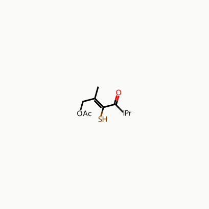 CC(=O)OCC(C)=C(S)C(=O)C(C)C